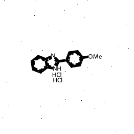 COc1ccc(-c2nc3ccccc3[nH]2)cc1.Cl.Cl